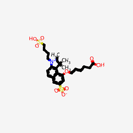 CC1=[N+](CCCCS(=O)(=O)O)c2ccc3cc(S(=O)(=O)[O-])cc(OCCCCCC(=O)O)c3c2C1(C)C